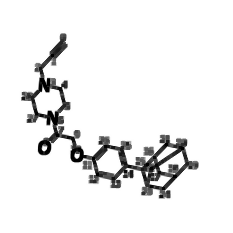 C#CCN1CCN(C(=O)COc2ccc(C3C4CC5CC(C4)CC3C5)cc2)CC1